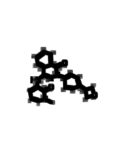 Cn1cccc(Nc2nn(-c3ccc(C4COC4)cc3)c(=O)c3ccccc23)c1=O